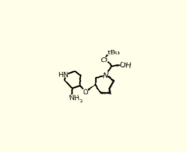 CC(C)(C)OC(O)N1CCC[C@@H](OC2CCNCC2N)C1